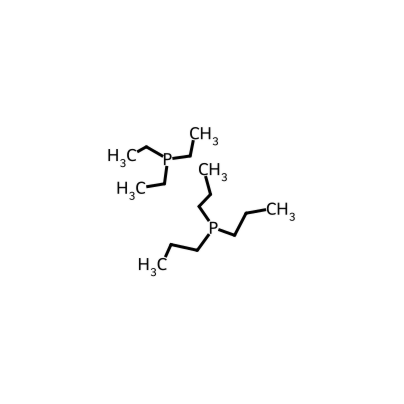 CCCP(CCC)CCC.CCP(CC)CC